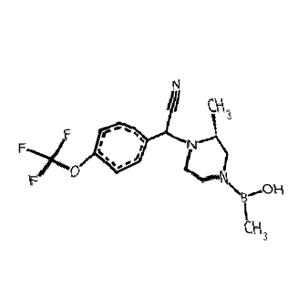 CB(O)N1CCN(C(C#N)c2ccc(OC(F)(F)F)cc2)[C@@H](C)C1